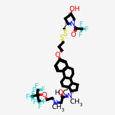 CN(CCOC(C(F)(F)F)(C(F)(F)F)C(F)(F)F)CC(=O)N(C)[C@H]1CCC2C3CCc4cc(OCCCSSC[C@@H]5C[C@@H](O)CN5C(=O)C(F)(F)F)ccc4C3CC[C@@]21C